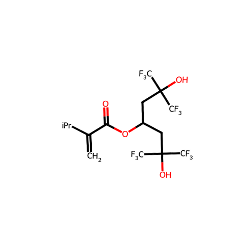 C=C(C(=O)OC(CC(O)(C(F)(F)F)C(F)(F)F)CC(O)(C(F)(F)F)C(F)(F)F)C(C)C